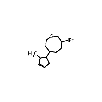 CC(C)C1CCC(C2CC=CC2C)CCSC1